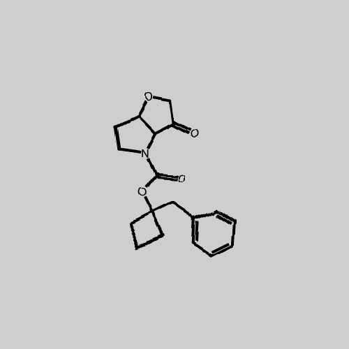 O=C1COC2CCN(C(=O)OC3(Cc4ccccc4)CCC3)C12